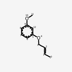 [CH2]/C=C/COc1cccc(OC)c1